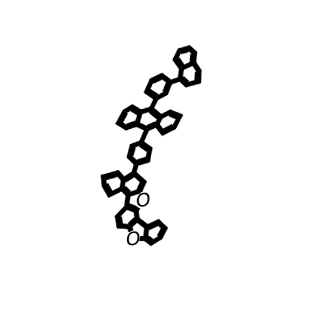 c1cc(-c2cccc3ccccc23)cc(-c2c3ccccc3c(-c3ccc(-c4cc5oc6c(ccc7oc8ccccc8c76)c5c5ccccc45)cc3)c3ccccc23)c1